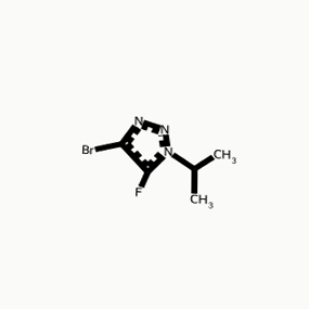 CC(C)n1nnc(Br)c1F